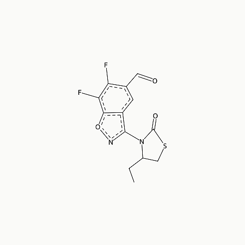 CCC1CSC(=O)N1c1noc2c(F)c(F)c(C=O)cc12